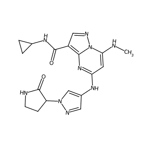 CNc1cc(Nc2cnn(C3CCNC3=O)c2)nc2c(C(=O)NC3CC3)cnn12